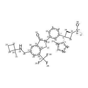 Cn1cnnc1[C@]1(c2cccc(N3Cc4c(cc(CNC5(C)CCC5)cc4C(F)(F)F)C3=O)c2)C[C@@H]([S@@+](C)[O-])C1